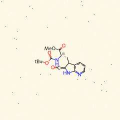 COC(=O)[C@H](CC1C(=C=O)Nc2ncccc21)NC(=O)OC(C)(C)C